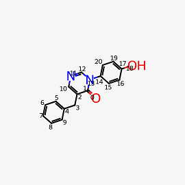 O=c1c(Cc2ccccc2)cncn1-c1ccc(O)cc1